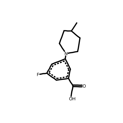 CC1CCN(c2cc(F)cc(C(=O)O)c2)CC1